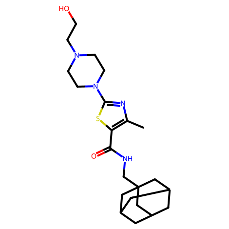 Cc1nc(N2CCN(CCO)CC2)sc1C(=O)NCC12CC3CC(CC(C3)C1)C2